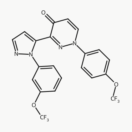 O=c1ccn(-c2ccc(OC(F)(F)F)cc2)nc1-c1ccnn1-c1cccc(OC(F)(F)F)c1